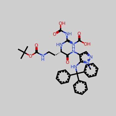 Cn1ncc(NC(=O)[C@H](CCNC(=O)OC(C)(C)C)NC(=NC(=O)O)NC(=O)O)c1NC(c1ccccc1)(c1ccccc1)c1ccccc1